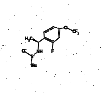 C[C@H](N[S+]([O-])C(C)(C)C)c1ccc(OC(F)(F)F)cc1F